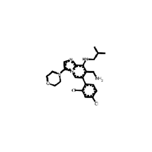 CC(C)CNc1c(CN)c(-c2ccc(Cl)cc2Cl)cn2c(N3CCOCC3)cnc12